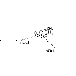 CCCCCCCC/C=C\CCCCCCCC(=O)Oc1ccc(CN(C)C)cc1OC(=O)CCCCCCC/C=C\CCCCCCCC